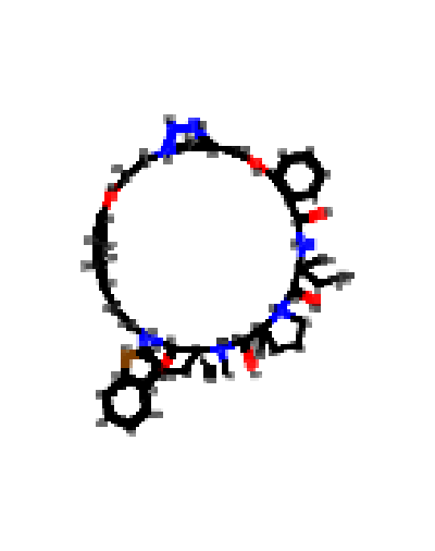 CC(C)C[C@H]1NC(=O)c2ccccc2OCc2cn(nn2)CCOc2ccc(cc2)CCNC(=O)[C@H](Cc2csc3ccccc23)N(C)C(=O)[C@H]2CCCN2C1=O